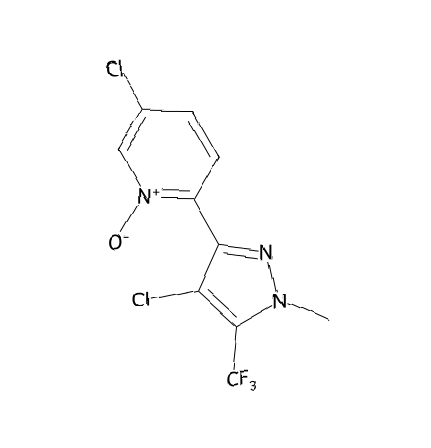 Cn1nc(-c2ccc(Cl)c[n+]2[O-])c(Cl)c1C(F)(F)F